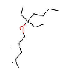 CCCCC[O][Sn]([CH2]C)([CH2]C)[CH2]CCC